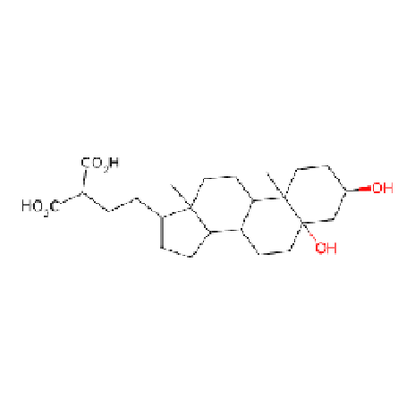 CC12CCC3C(CCC4(O)C[C@H](O)CCC34C)C1CCC2CCC(C(=O)O)C(=O)O